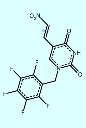 O=c1[nH]c(=O)n(Cc2c(F)c(F)c(F)c(F)c2F)cc1/C=C/[N+](=O)[O-]